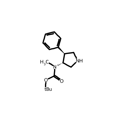 CN(C(=O)OC(C)(C)C)[C@H]1CNC[C@@H]1c1ccccc1